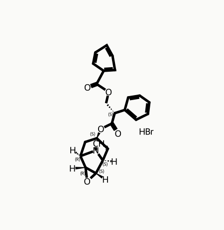 Br.CN1[C@@H]2C[C@@H](OC(=O)[C@H](COC(=O)c3ccccc3)c3ccccc3)C[C@H]1[C@@H]1O[C@@H]12